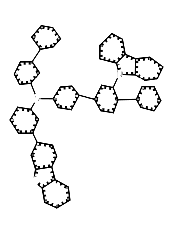 c1ccc(-c2cccc(N(c3ccc(-c4ccc(-c5ccccc5)c(-n5c6ccccc6c6ccccc65)c4)cc3)c3cccc(-c4ccc5c(c4)oc4ccccc45)c3)c2)cc1